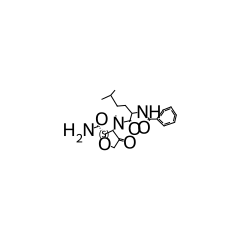 CC(C)CCC(NC(=O)c1ccccc1)C(=O)N(C)C1C(=O)CO[C@@H]1C(N)=O